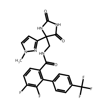 Cn1ccc(C2(CNC(=O)c3ccc(F)c(F)c3-c3ccc(C(F)(F)F)cc3)NC(=O)NC2=O)n1